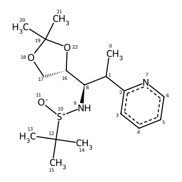 CC(c1ccccn1)[C@@H](N[S+]([O-])C(C)(C)C)[C@@H]1COC(C)(C)O1